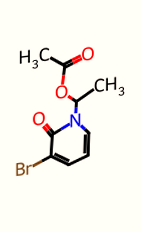 CC(=O)OC(C)n1cccc(Br)c1=O